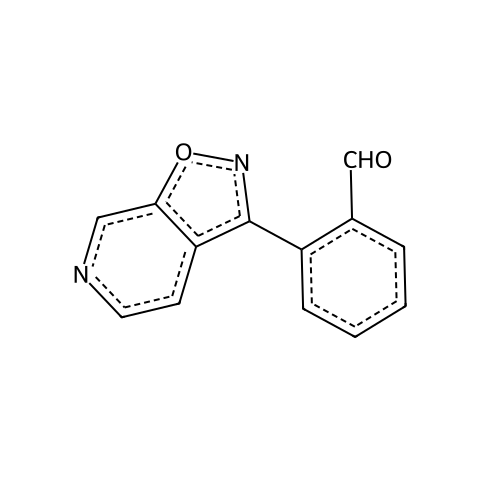 O=Cc1ccccc1-c1noc2cnccc12